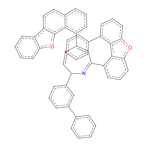 C1=CC(c2cccc(-c3ccccc3)c2)N=C(c2cccc3oc4cccc(-c5ccccc5)c4c23)C=C1c1cccc2ccc3c4ccccc4oc3c12